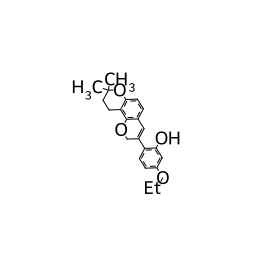 CCOc1ccc(C2=Cc3ccc4c(c3OC2)CCC(C)(C)O4)c(O)c1